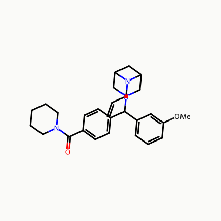 C=CCN1C2CC1CN(C(c1ccc(C(=O)N3CCCCC3)cc1)c1cccc(OC)c1)C2